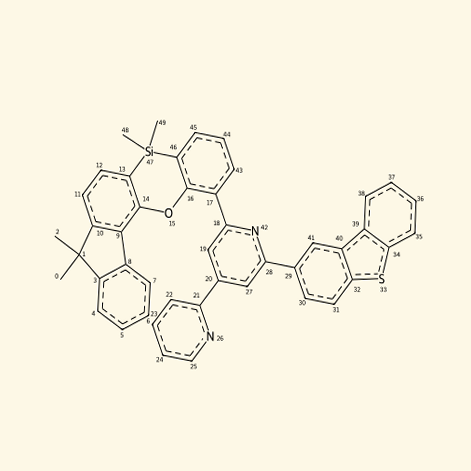 CC1(C)c2ccccc2-c2c1ccc1c2Oc2c(-c3cc(-c4ccccn4)cc(-c4ccc5sc6ccccc6c5c4)n3)cccc2[Si]1(C)C